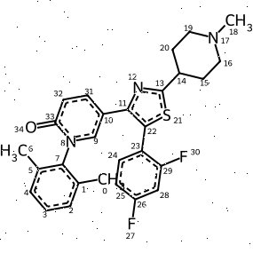 Cc1cccc(C)c1-n1cc(-c2nc(C3CCN(C)CC3)sc2-c2ccc(F)cc2F)ccc1=O